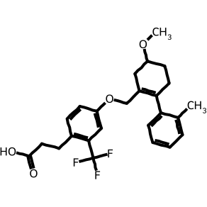 COC1CCC(c2ccccc2C)=C(COc2ccc(CCC(=O)O)c(C(F)(F)F)c2)C1